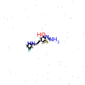 Nc1nc2c(O)cc(C#CCNc3cccc(F)c3)cc2s1